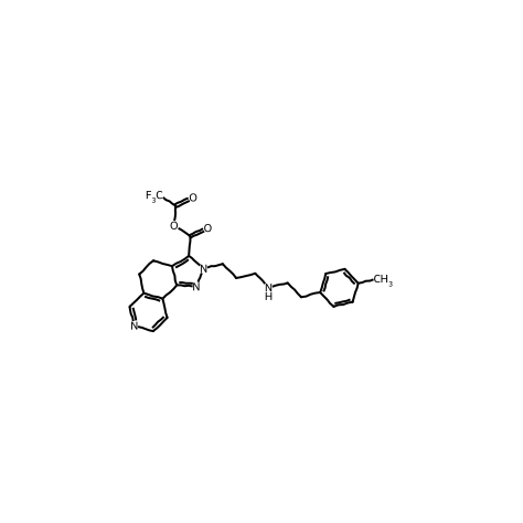 Cc1ccc(CCNCCCn2nc3c(c2C(=O)OC(=O)C(F)(F)F)CCc2cnccc2-3)cc1